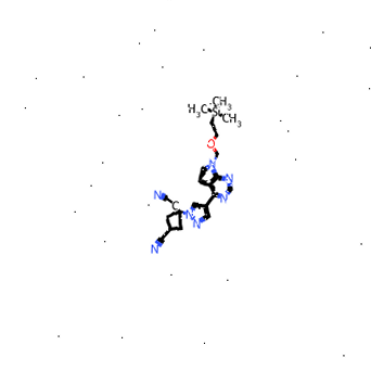 C[Si](C)(C)CCOCn1ccc2c(-c3cnn(C4(CC#N)CC(C#N)C4)c3)ncnc21